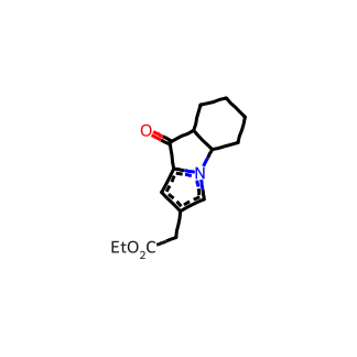 CCOC(=O)Cc1cc2n(c1)C1CCCCC1C2=O